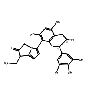 CCC1C(=O)Cn2c(-c3c(O)cc(O)c4c3O[C@H](c3cc(O)c(O)c(O)c3)[C@H](O)C4)ccc21